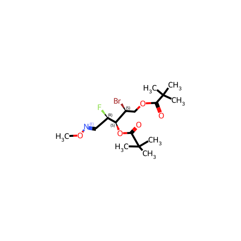 CO/N=C/[C@@H](F)[C@H](OC(=O)C(C)(C)C)[C@@H](Br)COC(=O)C(C)(C)C